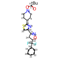 CC(C)(C)C(=O)ON1CCC(c2nc(C3=NOC(C(F)(F)c4ccccc4)C3)cs2)CC1